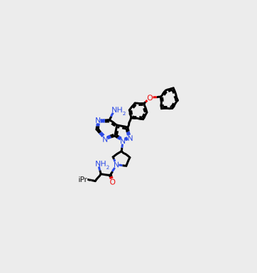 CC(C)CC(N)C(=O)N1CCC(n2nc(-c3ccc(Oc4ccccc4)cc3)c3c(N)ncnc32)C1